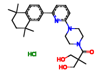 CC(CO)(CO)C(=O)N1CCN(c2cccc(-c3ccc4c(c3)C(C)(C)CCC4(C)C)n2)CC1.Cl